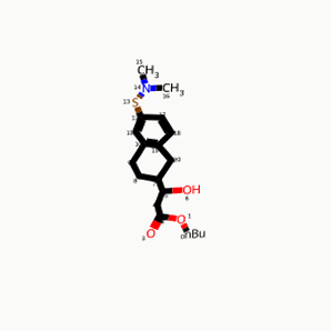 CCCCOC(=O)CC(O)C1CCc2cc(SN(C)C)ccc2C1